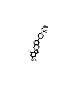 CC(C)(C)OC(=O)N1CCC(c2cnc(Cn3ccc4cc([N+](=O)[O-])cc(F)c43)c(F)c2)CC1